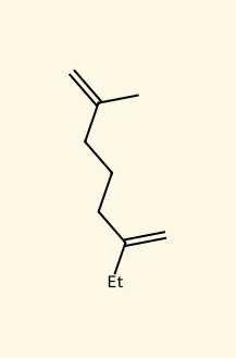 [CH2]CC(=C)CCCC(=C)C